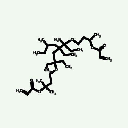 BC(CC)(OCCC(C)OC(=O)C=C)C(CC)(CC(C)CC)CC(CC)(CC)OCCC(C)(C)OC(=O)C=C